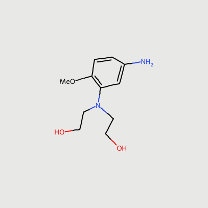 COc1ccc(N)cc1N(CCO)CCO